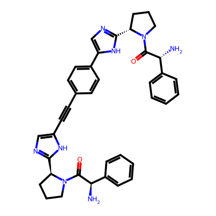 N[C@@H](C(=O)N1CCC[C@H]1c1ncc(C#Cc2ccc(-c3cnc([C@@H]4CCCN4C(=O)[C@H](N)c4ccccc4)[nH]3)cc2)[nH]1)c1ccccc1